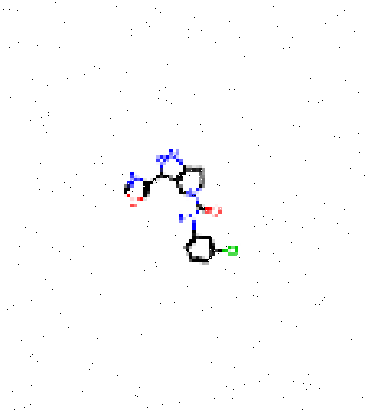 O=C(Nc1cccc(Cl)c1)N1CCC2=C(C1)C(c1cocn1)N=N2